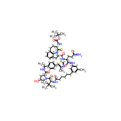 Cc1cc(CCCCCC(=O)N[C@H](C(=O)N2C[C@H](O)C[C@H]2C(=O)N[C@@H](C)c2ccc(-c3scnc3C)cc2)C(C)(C)C)cc(NC(=O)[C@H](CCC(N)=O)NC(=O)[C@@H]2Cc3cccc4c3N2C(=O)[C@@H](NC(=O)OC(C)(C)C)CC4)c1